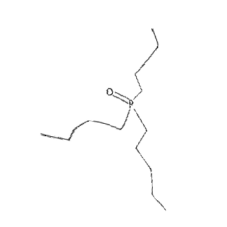 CCCCCP(=O)(CCCC)CCCC